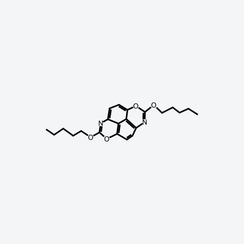 CCCCCOC1=Nc2ccc3c4c(ccc(c24)O1)N=C(OCCCCC)O3